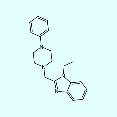 CCn1c(CN2CCN(c3ccccc3)CC2)nc2ccccc21